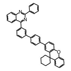 c1ccc(-c2nc(-c3cccc(-c4ccc(-c5ccc6c(c5)C5(CCCCC5)c5ccccc5O6)cc4)c3)c3ccccc3n2)cc1